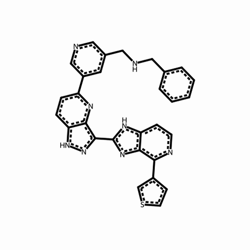 c1ccc(CNCc2cncc(-c3ccc4[nH]nc(-c5nc6c(-c7ccsc7)nccc6[nH]5)c4n3)c2)cc1